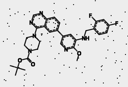 COc1ncc(-c2ccc3ncnc(N4CCN(C(=O)OC(C)(C)C)CC4)c3c2)cc1NCc1ccc(F)cc1F